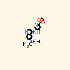 CN(C)c1ccc2nccc(Nc3ccc(C4OCCO4)nc3)c2c1